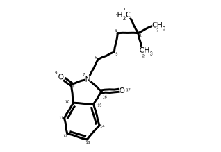 [CH2]C(C)(C)CCCN1C(=O)c2ccccc2C1=O